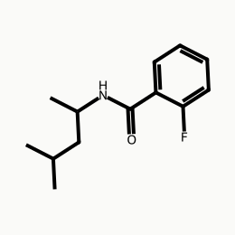 CC(C)CC(C)NC(=O)c1ccccc1F